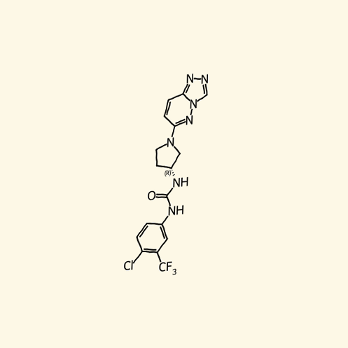 O=C(Nc1ccc(Cl)c(C(F)(F)F)c1)N[C@@H]1CCN(c2ccc3nncn3n2)C1